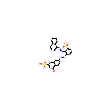 O=S(=O)(O)c1cc(O)c2ccc(N=Nc3cccc(S(=O)(=O)O)c3N=Nc3cccc4ccccc34)cc2c1